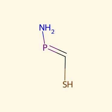 NP=CS